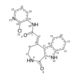 O=C(/C=C1\CCNC(=O)c2[nH]c3ccccc3c21)Nc1cccnc1Cl